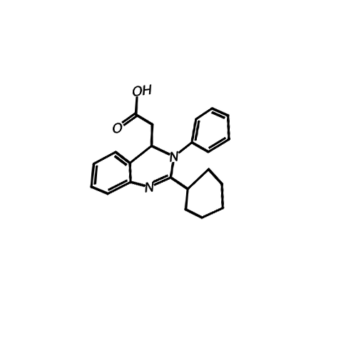 O=C(O)CC1c2ccccc2N=C(C2CCCCC2)N1c1ccccc1